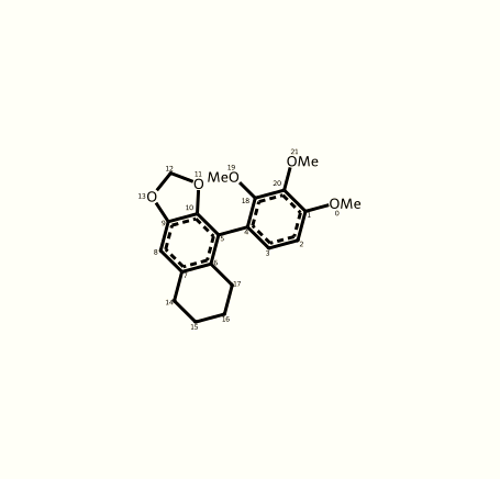 COc1ccc(-c2c3c(cc4c2OCO4)CCCC3)c(OC)c1OC